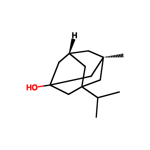 CC(C)C12C[C@@H]3CC(O)(C1)C[C@@](C)(C3)C2